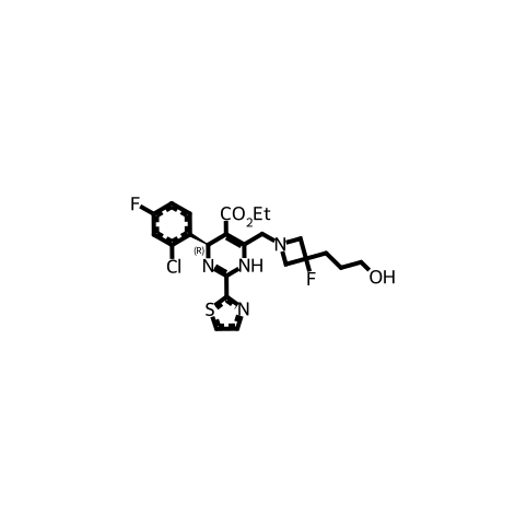 CCOC(=O)C1=C(CN2CC(F)(CCCO)C2)NC(c2nccs2)=N[C@H]1c1ccc(F)cc1Cl